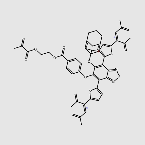 C=C(C)/C=C(\C(=C)C)c1ccc(-c2c(Oc3ccc(C(=O)OCCOC(=O)C(=C)C)cc3)c(OC3C4=C5CCCC(=C3C4)C5)c(-c3ccc(/C(=C/C(=C)C)C(=C)C)s3)c3nsnc23)s1